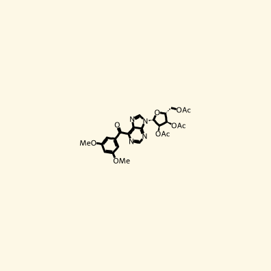 COc1cc(OC)cc(C(=O)c2ncnc3c2ncn3[C@@H]2O[C@H](COC(C)=O)[C@@H](OC(C)=O)[C@H]2OC(C)=O)c1